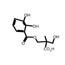 CC(CO)(COC(=O)c1cccc(O)c1O)C(=O)O